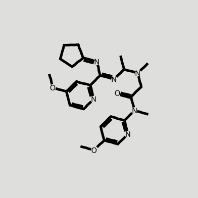 COc1ccc(N(C)C(=O)CN(C)C(C)/N=C(\N=C2CCCC2)c2cc(OC)ccn2)nc1